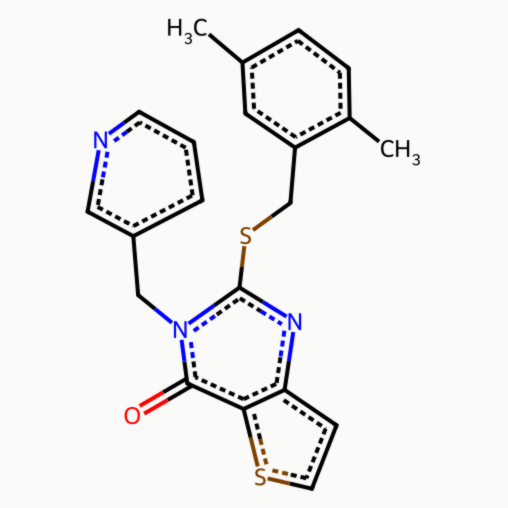 Cc1ccc(C)c(CSc2nc3ccsc3c(=O)n2Cc2cccnc2)c1